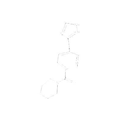 O=C(c1ccc(-c2nc[nH]n2)cc1)N1CCCCC1